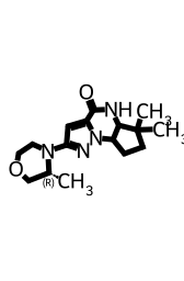 C[C@@H]1COCCN1c1cc2n(n1)C1CCC(C)(C)C1NC2=O